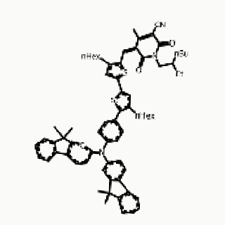 CCCCCCc1cc(-c2cc(CCCCCC)c(-c3ccc(N(c4ccc5c(c4)C(C)(C)c4ccccc4-5)c4ccc5c(c4)C(C)(C)c4ccccc4-5)cc3)s2)sc1/C=C1\C(=O)N(CC(CC)CCCC)C(=O)C(C#N)=C1C